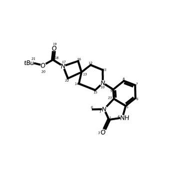 Cn1c(=O)[nH]c2cccc(N3CCC4(CC3)CN(C(=O)OC(C)(C)C)C4)c21